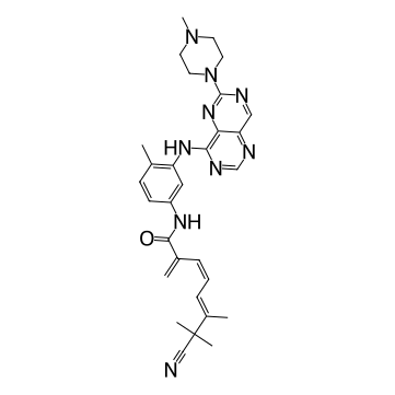 C=C(/C=C\C=C(/C)C(C)(C)C#N)C(=O)Nc1ccc(C)c(Nc2ncnc3cnc(N4CCN(C)CC4)nc23)c1